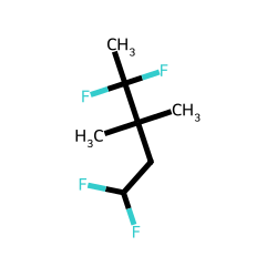 CC(F)(F)C(C)(C)CC(F)F